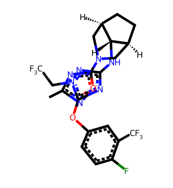 Cc1noc(N2C[C@H]3CC[C@@H](C2)[C@@H]3Nc2nc(Oc3ccc(F)c(C(F)(F)F)c3)n(CC(F)(F)F)n2)n1